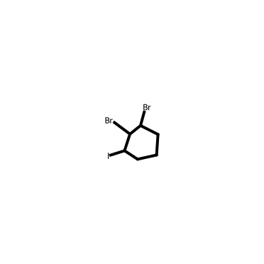 BrC1CCCC(I)C1Br